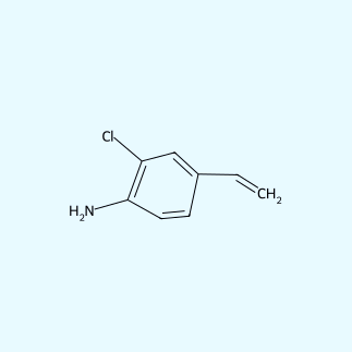 C=Cc1ccc(N)c(Cl)c1